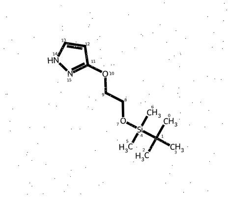 CC(C)(C)[Si](C)(C)OCCOc1cc[nH]n1